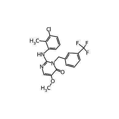 COc1cnc(Nc2cccc(Cl)c2C)n(Cc2cccc(C(F)(F)F)c2)c1=O